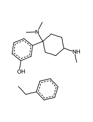 CCc1ccccc1.CNC1CCC(c2cccc(O)c2)(N(C)C)CC1